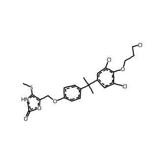 CSc1[nH]c(=O)oc1COc1ccc(C(C)(C)c2cc(Cl)c(OCCCCl)c(Cl)c2)cc1